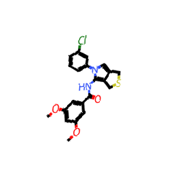 COc1cc(OC)cc(C(=O)Nc2c3c(cn2-c2cccc(Cl)c2)CSC3)c1